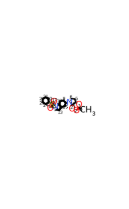 CC(=O)OC1CCN(c2ccc3c(ccn3S(=O)(=O)c3ccccc3)c2)C1=O